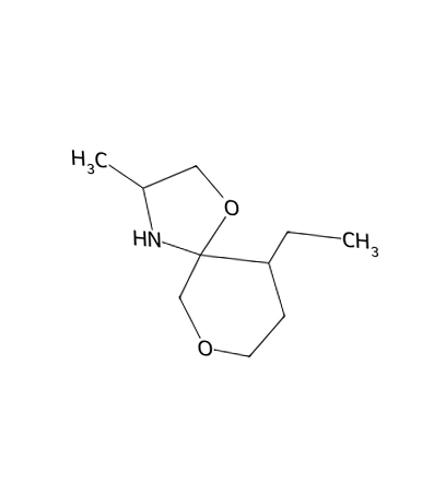 CCC1CCOCC12NC(C)CO2